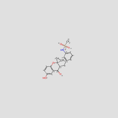 CC1(C)Oc2ccc(O)cc2C(=O)C1Cc1cccc(NS(=O)(=O)C(F)(F)F)c1